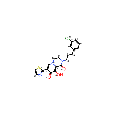 O=C1c2c(O)c(=O)c(-c3nccs3)cn2CCN1CCCc1cccc(Cl)c1